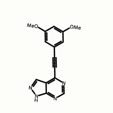 COc1cc(C#Cc2ncnc3[nH]ncc23)cc(OC)c1